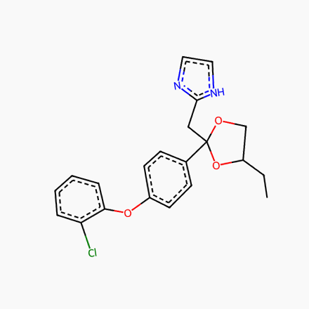 CCC1COC(Cc2ncc[nH]2)(c2ccc(Oc3ccccc3Cl)cc2)O1